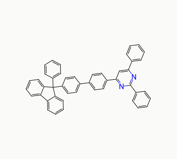 c1ccc(-c2cc(-c3ccc(-c4ccc(C5(c6ccccc6)c6ccccc6-c6ccccc65)cc4)cc3)nc(-c3ccccc3)n2)cc1